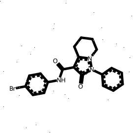 O=C(Nc1ccc(Br)cc1)c1c2n(n(-c3ccccc3)c1=O)CCCC2